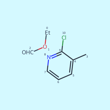 CCOC=O.Cc1cccnc1Cl